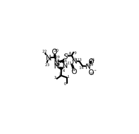 CCC(C)c1nc(SC(C)N(C=O)CC[N+](=O)[O-])n(C(=O)N(C)C)n1